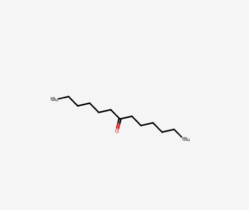 CC(C)(C)CCCCCC(=O)CCCCCC(C)(C)C